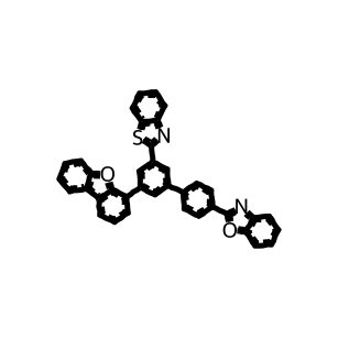 c1ccc2oc(-c3ccc(-c4cc(-c5nc6ccccc6s5)cc(-c5cccc6c5oc5ccccc56)c4)cc3)nc2c1